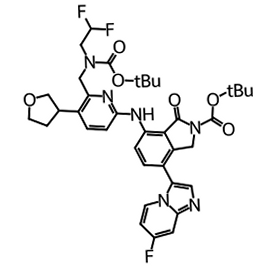 CC(C)(C)OC(=O)N(Cc1nc(Nc2ccc(-c3cnc4cc(F)ccn34)c3c2C(=O)N(C(=O)OC(C)(C)C)C3)ccc1C1CCOC1)CC(F)F